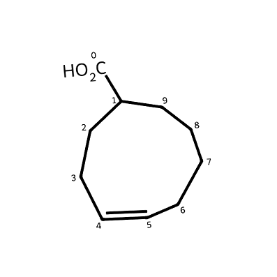 O=C(O)C1CCC=CCCCC1